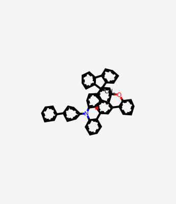 CC1(c2ccc(N(c3ccc(-c4ccccc4)cc3)c3ccccc3-c3cc4c5c(cccc5c3)Oc3ccccc3-4)cc2)c2ccccc2-c2ccccc21